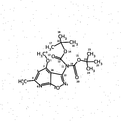 COc1cc(C)nc2onc(N(C(=O)OC(C)(C)C)C(=O)OC(C)(C)C)c12